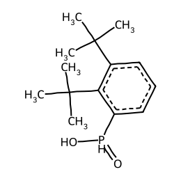 CC(C)(C)c1cccc([PH](=O)O)c1C(C)(C)C